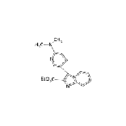 CCOC(=O)c1nc2ccccn2c1-c1ccc(N(C)C)nc1